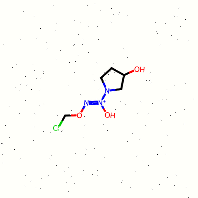 OC1CCN(/[N+](O)=N/OCCl)C1